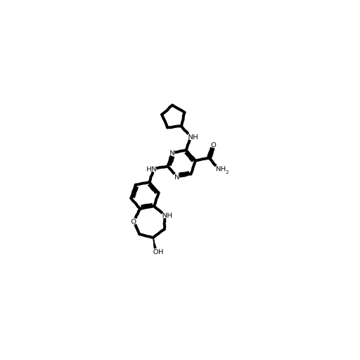 NC(=O)c1cnc(Nc2ccc3c(c2)NC[C@@H](O)CO3)nc1NC1CCCC1